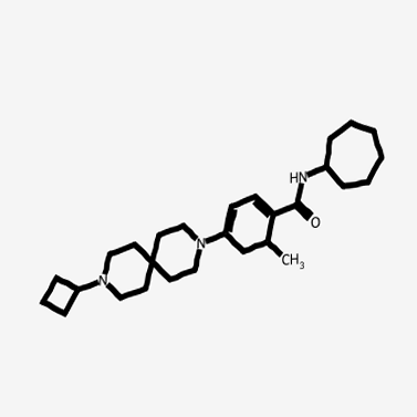 CC1CC(N2CCC3(CC2)CCN(C2CCC2)CC3)=CC=C1C(=O)NC1CCCCCC1